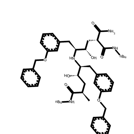 CCCCNC(=O)[C@H](C[C@H](O)[C@H](Cc1cccc(OCc2ccccc2)c1)N[C@@H](Cc1cccc(OCc2ccccc2)c1)[C@@H](O)C[C@@H](C)C(=O)NCCCC)C(N)=O